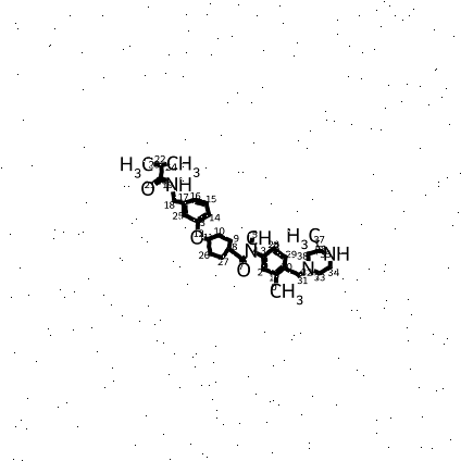 Cc1cc(N(C)C(=O)C2CCC(Oc3cccc(CNC(=O)C(C)C)c3)CC2)ccc1CN1CCN[C@@H](C)C1